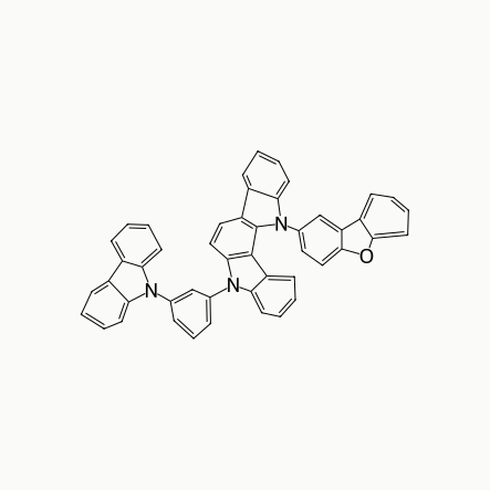 c1cc(-n2c3ccccc3c3ccccc32)cc(-n2c3ccccc3c3c2ccc2c4ccccc4n(-c4ccc5oc6ccccc6c5c4)c23)c1